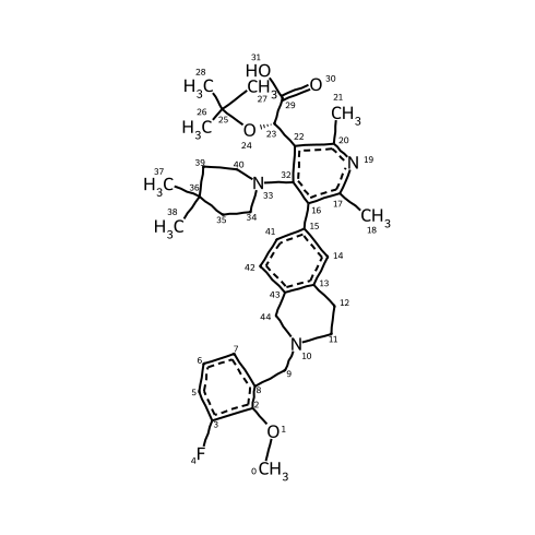 COc1c(F)cccc1CN1CCc2cc(-c3c(C)nc(C)c([C@H](OC(C)(C)C)C(=O)O)c3N3CCC(C)(C)CC3)ccc2C1